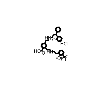 COc1c(CCNCCc2cc(CCNC(=O)CC(c3ccccc3)c3ccccc3)ccc2C(=O)O)cccc1C(F)(F)F.Cl